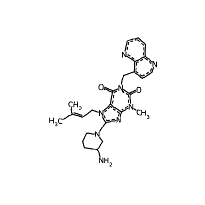 CC(C)=CCn1c(N2CCCC(N)C2)nc2c1c(=O)n(Cc1ccnc3cccnc13)c(=O)n2C